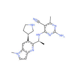 Cc1nc(N)nc(N[C@@H](C)c2nc3ccn(C)c3cc2[C@H]2CCNC2)c1C#N